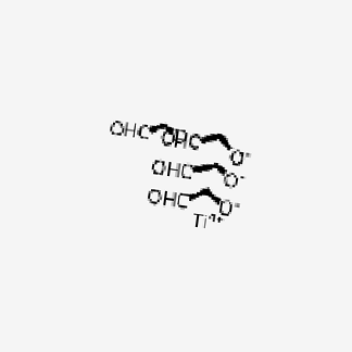 O=CC[O-].O=CC[O-].O=CC[O-].O=CC[O-].[Ti+4]